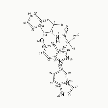 CC(C)[C@H](NC(=O)C(C)(F)F)[C@H](Oc1ccc2c(cnn2-c2ccc3nccn3c2)c1)c1ccccc1